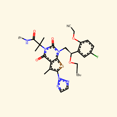 Cc1c(-n2nccn2)sc2c1c(=O)n(C(C)(C)C(=O)NC(C)C)c(=O)n2C[C@H](OCC(C)(C)C)c1cc(F)ccc1OCC#N